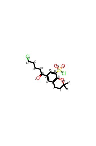 CC1(C)CCc2cc(C(=O)CCCCCl)cc(S(=O)(=O)Cl)c2O1